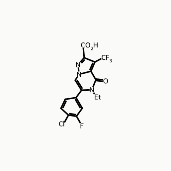 CCn1c(-c2ccc(Cl)c(F)c2)cn2nc(C(=O)O)c(C(F)(F)F)c2c1=O